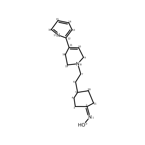 ON=C1CCC(CCN2CC=C(c3ccccn3)CC2)CC1